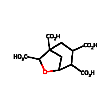 O=C(O)C1CC2(C(=O)O)CC(OC2C(=O)O)C1C(=O)O